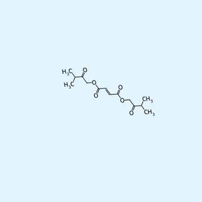 CC(C)C(=O)COC(=O)/C=C/C(=O)OCC(=O)C(C)C